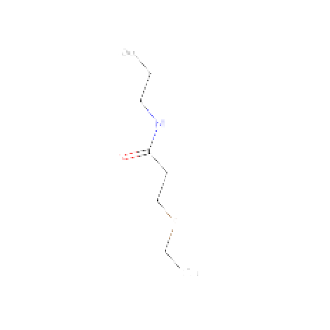 CC(C)(C)CCNC(=O)CCSCC(C)(C)C